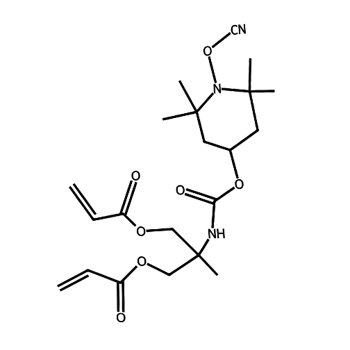 C=CC(=O)OCC(C)(COC(=O)C=C)NC(=O)OC1CC(C)(C)N(OC#N)C(C)(C)C1